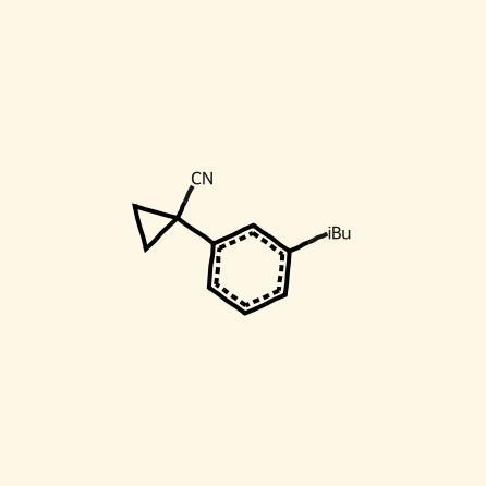 CCC(C)c1cccc(C2(C#N)CC2)c1